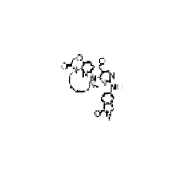 CN1Cc2cc(Nc3ncc(C=O)c(N4c5ccc6c(n5)N(CCC/C=C\CN4C)C(=O)CO6)n3)ccc2C1=O